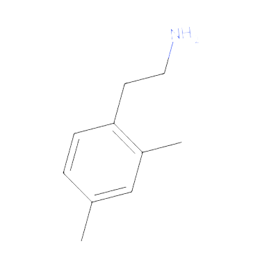 Cc1ccc(CCN)c(C)c1